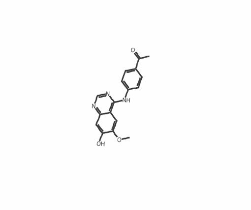 COc1cc2c(Nc3ccc(C(C)=O)cc3)ncnc2cc1O